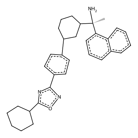 C[C@](N)(c1cccc2ccccc12)C1CCCC(c2ccc(-c3noc(C4CCCCC4)n3)cc2)C1